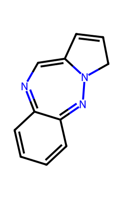 C1=CC2=CN=c3ccccc3=NN2C1